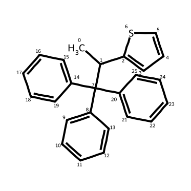 C[C](c1cccs1)C(c1ccccc1)(c1ccccc1)c1ccccc1